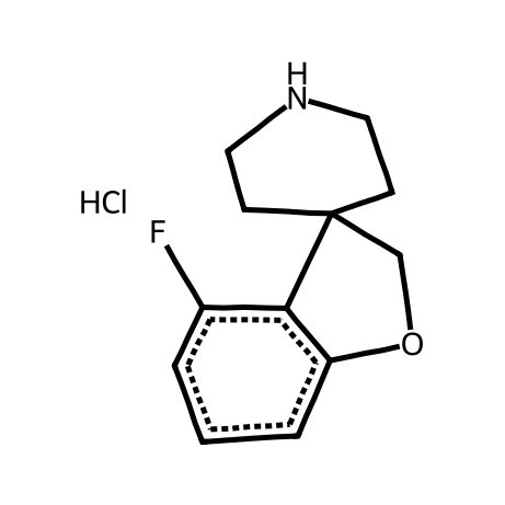 Cl.Fc1cccc2c1C1(CCNCC1)CO2